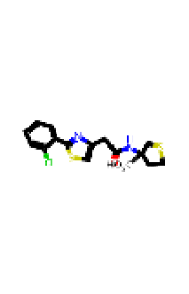 O=C(Cc1csc(-c2ccccc2Cl)n1)NC1(C(=O)O)CCSC1